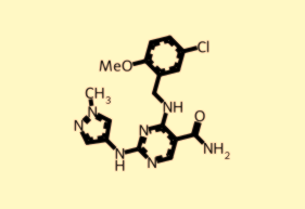 COc1ccc(Cl)cc1CNc1nc(Nc2cnn(C)c2)ncc1C(N)=O